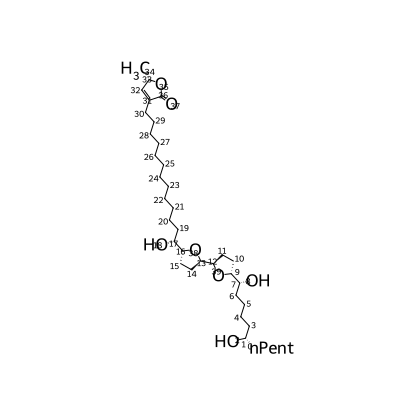 CCCCC[C@H](O)CCCC[C@@H](O)[C@H]1CC[C@H]([C@H]2CC[C@H]([C@H](O)CCCCCCCCCCCCC3=C[C@H](C)OC3=O)O2)O1